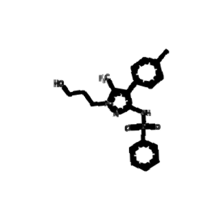 Cc1ccc(-c2c(NS(=O)(=O)c3ccccc3)nn(CCCO)c2C(F)(F)F)cc1